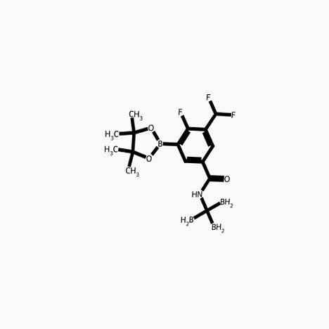 BC(B)(B)NC(=O)c1cc(B2OC(C)(C)C(C)(C)O2)c(F)c(C(F)F)c1